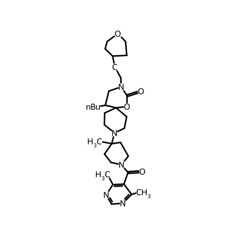 CCCCC1CN(CCC2CCOCC2)C(=O)OC12CCN(C1(C)CCN(C(=O)c3c(C)ncnc3C)CC1)CC2